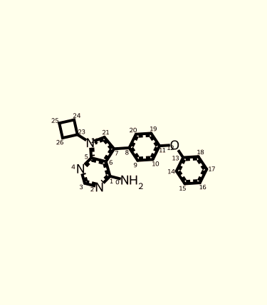 Nc1ncnc2c1c(-c1ccc(Oc3ccccc3)cc1)cn2C1CCC1